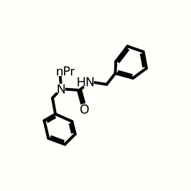 CCCN(Cc1ccccc1)C(=O)NCc1ccccc1